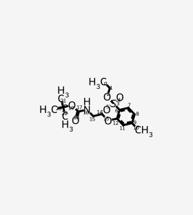 CCOS(=O)(=O)c1ccc(C)cc1OCCNC(=O)OC(C)(C)C